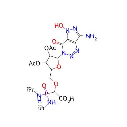 CC(=O)OC1C(COC(C(=O)O)P(=O)(NC(C)C)NC(C)C)OC(n2nnc3c(N)nn(O)c3c2=O)C1OC(C)=O